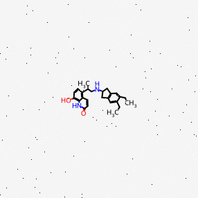 CCc1cc2c(cc1CC)CC(NC[C@H](C)c1ccc(O)c3[nH]c(=O)ccc13)C2